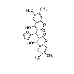 Cc1cc2oc(=O)c(C(c3ccco3)c3c(O)c4cc(C)c(C)cc4oc3=O)c(O)c2cc1C